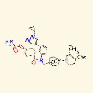 COc1ccc(C23CCC(CN(C(=O)C4CCC(OC(N)=O)CC4)c4cccc(-c5cnn(C6CC6)c5)c4)(CC2)CC3)cc1C